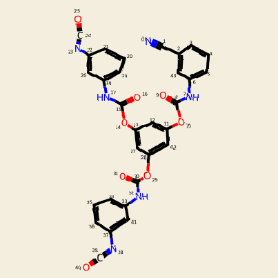 N#Cc1cccc(NC(=O)Oc2cc(OC(=O)Nc3cccc(N=C=O)c3)cc(OC(=O)Nc3cccc(N=C=O)c3)c2)c1